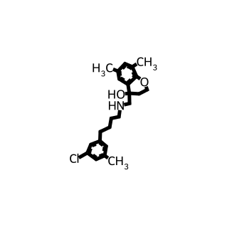 Cc1cc(Cl)cc(CCCCNCC2(O)CCOc3c(C)cc(C)cc32)c1